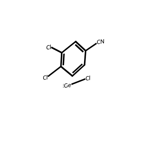 N#Cc1ccc(Cl)c(Cl)c1.[Cl][Ge]